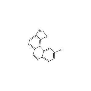 Clc1ccc2ccc3ccc4ncsc4c3c2c1